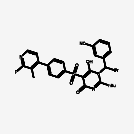 CCCCc1nc(=O)c(S(=O)(=O)c2ccc(-c3ccnc(F)c3C)cc2)c(O)n1C(c1cccc(C#N)c1)C(C)C